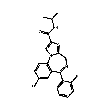 CC(C)NC(=O)c1nc2n(n1)-c1ccc(Cl)cc1C(c1ccccc1F)=NC2